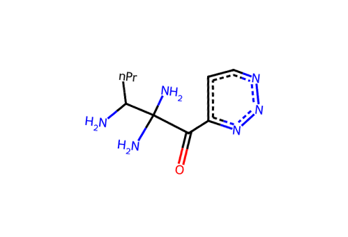 CCCC(N)C(N)(N)C(=O)c1ccnnn1